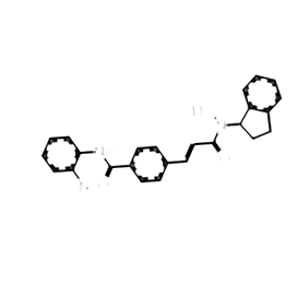 Nc1ccccc1NC(=O)c1ccc(C=CC(=O)N(O)C2CCc3ccccc32)cc1